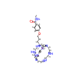 CNC(=O)c1ccc(OCCCN2CCNCCN3CCNCCNCCN(CCNCCNCC3)CC2)cc1